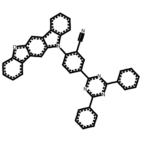 N#Cc1cc(-c2nc(-c3ccccc3)nc(-c3ccccc3)n2)ccc1-n1c2ccccc2c2cc3oc4ccccc4c3cc21